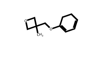 CC1(COC2=CC=CCC2)COC1